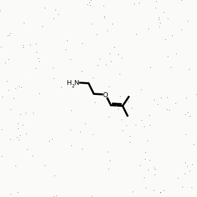 CC(C)=COCCN